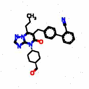 CCCc1c(Cc2ccc(-c3ccccc3C#N)cc2)c(=O)n([C@H]2CC[C@H](C=O)CC2)c2ncnn12